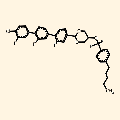 CCCCCc1ccc(C(F)(F)OC2COC(c3ccc(-c4ccc(-c5ccc(Cl)c(F)c5)c(F)c4)c(F)c3)OC2)cc1